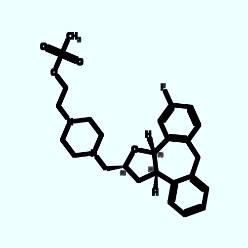 CS(=O)(=O)OCCN1CCN(C[C@H]2C[C@@H]3c4ccccc4Cc4ccc(F)cc4[C@H]3O2)CC1